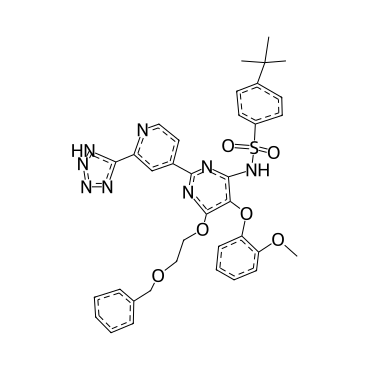 COc1ccccc1Oc1c(NS(=O)(=O)c2ccc(C(C)(C)C)cc2)nc(-c2ccnc(-c3nnn[nH]3)c2)nc1OCCOCc1ccccc1